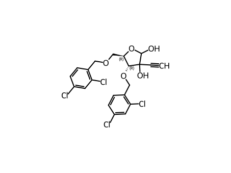 C#CC1(O)C(O)O[C@H](COCc2ccc(Cl)cc2Cl)[C@H]1OCc1ccc(Cl)cc1Cl